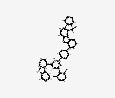 Cc1cccc(C)c1-c1nc(-c2ccc(-c3cccc4c3oc3ccc5c(c34)C(C)(C)c3ccccc3-5)cc2)nc(-c2cccc3oc4ccccc4c23)n1